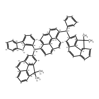 CC1(C)c2cccc3ccc4cc(N(c5ccccc5)c5ccc6ccc7c(N(c8cc9c%10c(ccc%11cccc(c%11%10)C9(C)C)c8)c8cccc9c8oc8ccccc89)ccc8ccc5c6c87)cc1c4c23